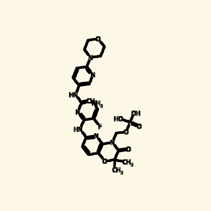 C=C(/N=C(Nc1ccc2c(n1)N(COP(=O)(O)O)C(=O)C(C)(C)O2)\C(F)=C/N)Nc1ccc(N2CCOCC2)nc1